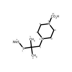 CSSC(C)(C)CN1CCN(C(=O)O)CC1